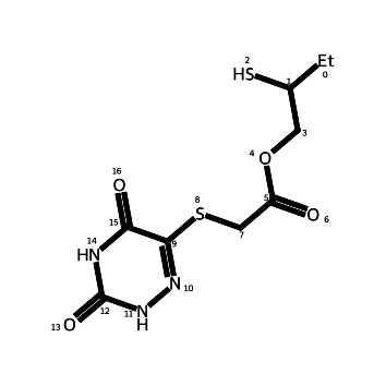 CCC(S)COC(=O)CSc1n[nH]c(=O)[nH]c1=O